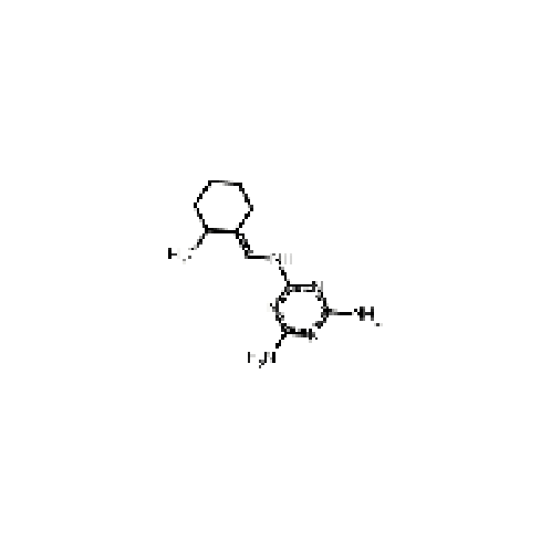 CC1CCCCC1=CNc1nc(N)nc(N)n1